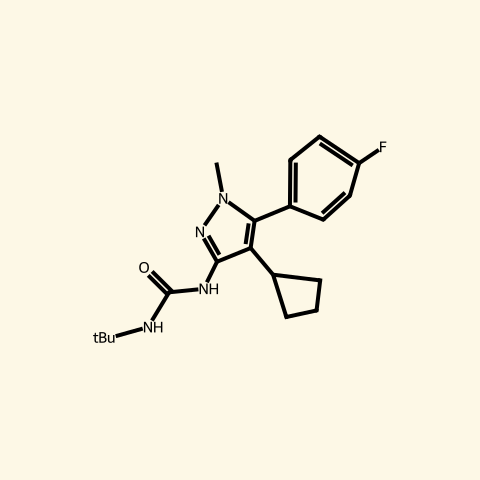 Cn1nc(NC(=O)NC(C)(C)C)c(C2CCC2)c1-c1ccc(F)cc1